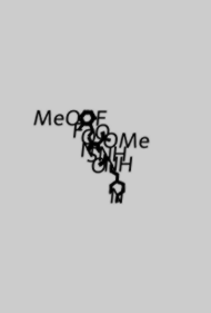 COC(=O)c1c(OCc2c(F)ccc(OC)c2F)nsc1NC(=O)NCCC1CCN(C)CC1